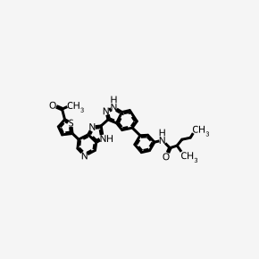 CCCC(C)C(=O)Nc1cccc(-c2ccc3[nH]nc(-c4nc5c(-c6ccc(C(C)=O)s6)cncc5[nH]4)c3c2)c1